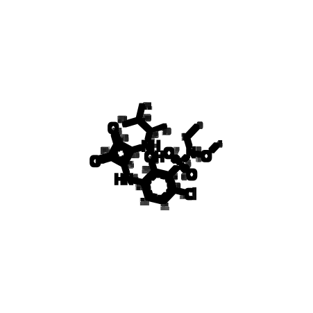 CCN(OC)S(=O)(=O)c1c(Cl)ccc(Nc2c(N[C@H](C)C(C)C)c(=O)c2=O)c1O